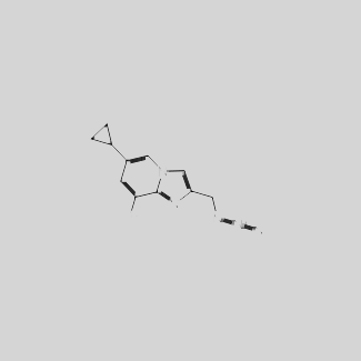 [N-]=[N+]=NCc1cn2cc(C3CC3)cc(Br)c2n1